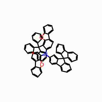 c1ccc(C2(c3c(N(c4ccc5c(c4)C4(c6ccccc6-c6ccccc64)c4ccccc4-5)c4cccc5c4oc4ccccc45)ccc4c3oc3ccccc34)c3ccccc3-c3ccccc32)cc1